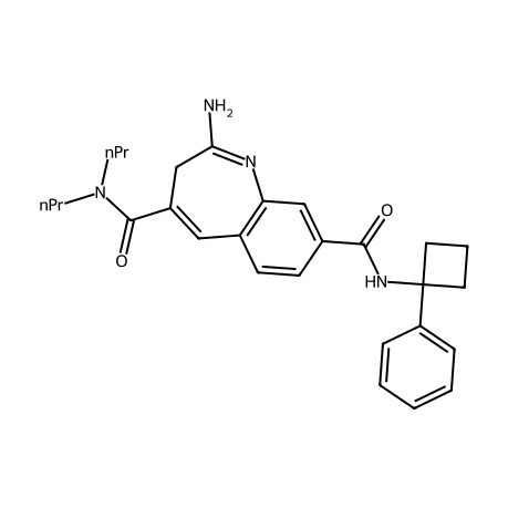 CCCN(CCC)C(=O)C1=Cc2ccc(C(=O)NC3(c4ccccc4)CCC3)cc2N=C(N)C1